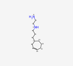 NCCNCCCC1CC=CCCC1